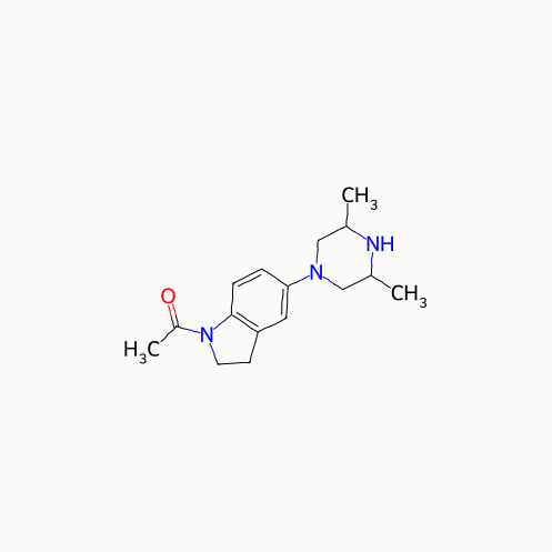 CC(=O)N1CCc2cc(N3CC(C)NC(C)C3)ccc21